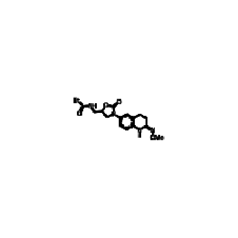 CCC(=O)NCC1CN(c2ccc3c(c2)CCC(=NOC)N3C)C(=O)O1